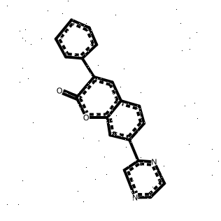 O=c1oc2cc(-c3cnccn3)ccc2cc1-c1ccccc1